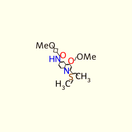 C/C=C\S/C(=C\C)c1cc(OCCOC)c2cc(NC(=O)C3CC(OC)C3)ccc2n1